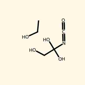 CCO.O=C=NC(O)(O)CO